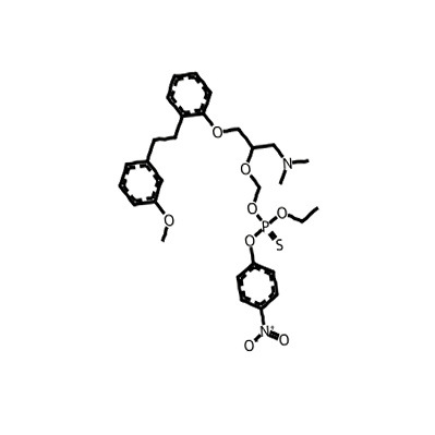 CCOP(=S)(OCOC(COc1ccccc1CCc1cccc(OC)c1)CN(C)C)Oc1ccc([N+](=O)[O-])cc1